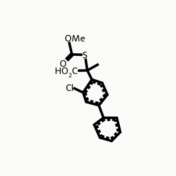 COC(=O)SC(C)(C(=O)O)c1ccc(-c2ccccc2)cc1Cl